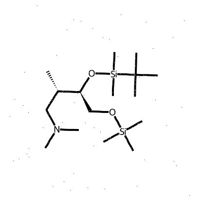 C[C@@H](CN(C)C)[C@H](CO[Si](C)(C)C)O[Si](C)(C)C(C)(C)C